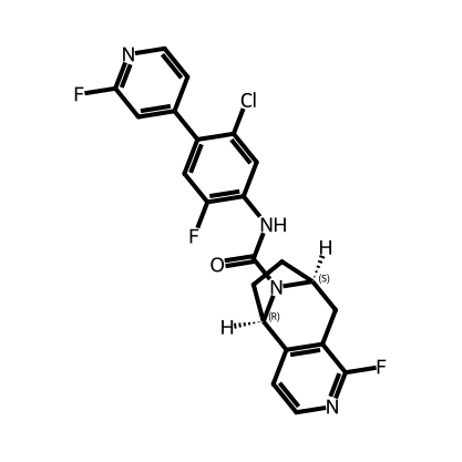 O=C(Nc1cc(Cl)c(-c2ccnc(F)c2)cc1F)N1[C@H]2CC[C@@H]1c1ccnc(F)c1C2